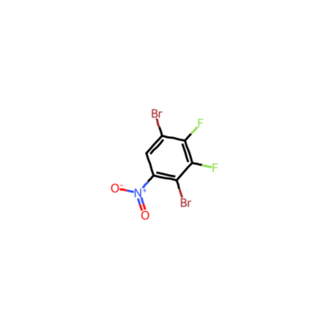 O=[N+]([O-])c1cc(Br)c(F)c(F)c1Br